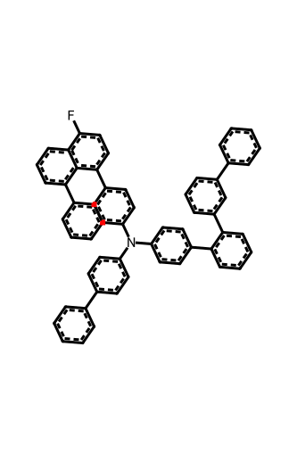 Fc1ccc(-c2ccc(N(c3ccc(-c4ccccc4)cc3)c3ccc(-c4ccccc4-c4cccc(-c5ccccc5)c4)cc3)cc2)c2c(-c3ccccc3)cccc12